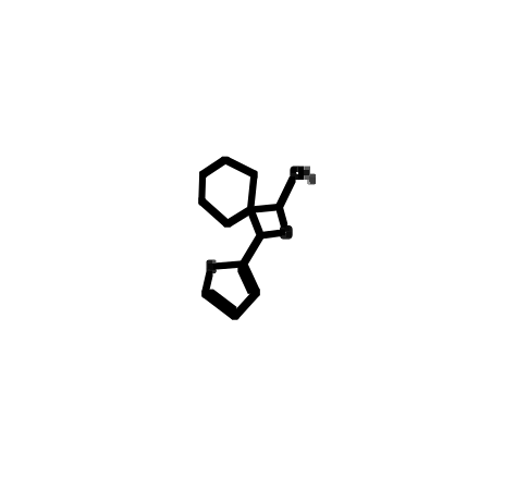 CC1OC(c2cccs2)C12CCCCC2